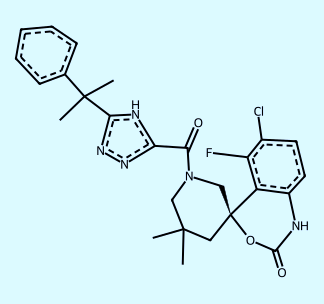 CC1(C)CN(C(=O)c2nnc(C(C)(C)c3ccccc3)[nH]2)C[C@]2(C1)OC(=O)Nc1ccc(Cl)c(F)c12